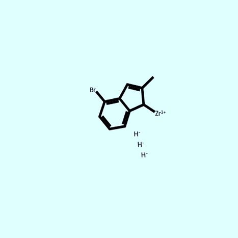 CC1=Cc2c(Br)cccc2[CH]1[Zr+3].[H-].[H-].[H-]